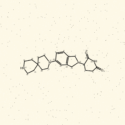 O=C1CCC(N2Cc3ccc(N4CCC5(CCNCC5)CC4)cc3C2)C(=O)N1